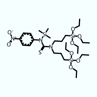 CCO[Si](CCCN(CCC[Si](OCC)(OCC)OCC)C(=S)N(c1ccc([N+](=O)[O-])cc1)[Si](C)(C)C)(OCC)OCC